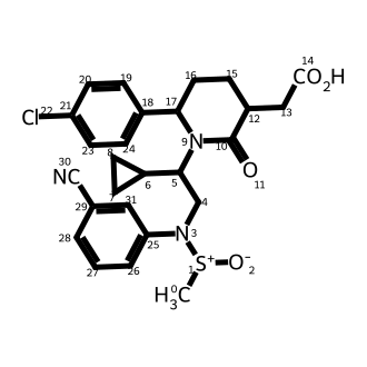 C[S+]([O-])N(CC(C1CC1)N1C(=O)C(CC(=O)O)CCC1c1ccc(Cl)cc1)c1cccc(C#N)c1